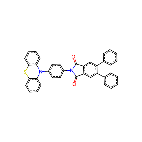 O=C1c2cc(-c3ccccc3)c(-c3ccccc3)cc2C(=O)N1c1ccc(N2c3ccccc3Sc3ccccc32)cc1